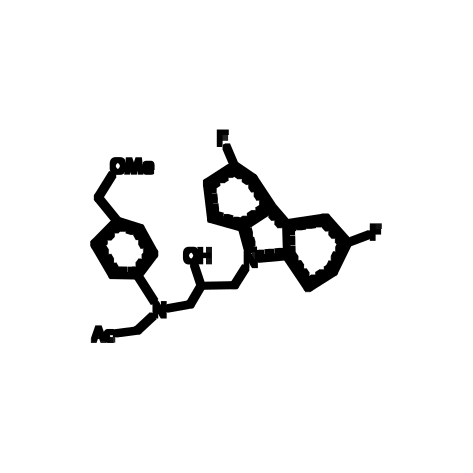 COCc1ccc(N(CC(C)=O)CC(O)Cn2c3ccc(F)cc3c3cc(F)ccc32)cc1